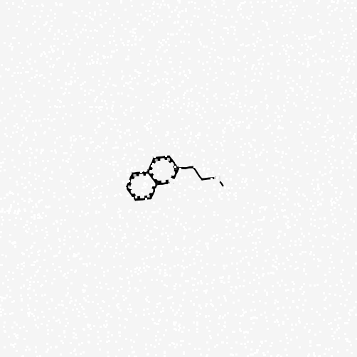 ONCCc1ccc2ccccc2n1